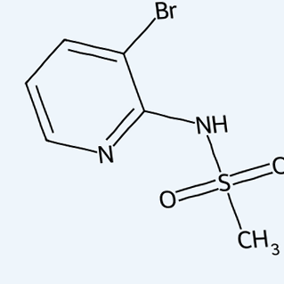 CS(=O)(=O)Nc1ncccc1Br